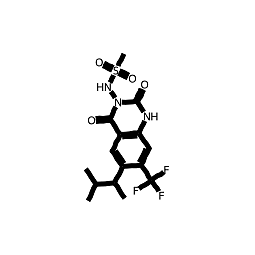 CC(C)C(C)c1cc2c(=O)n(NS(C)(=O)=O)c(=O)[nH]c2cc1C(F)(F)F